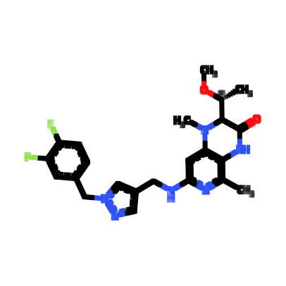 CO[C@H](C)C1C(=O)Nc2c(cc(NCc3cnn(Cc4ccc(F)c(F)c4)c3)nc2C)N1C